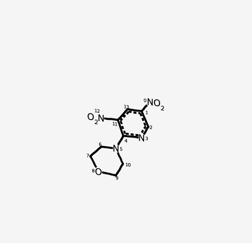 O=[N+]([O-])c1cnc(N2CCOCC2)c([N+](=O)[O-])c1